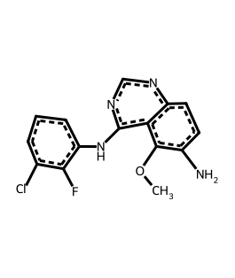 COc1c(N)ccc2ncnc(Nc3cccc(Cl)c3F)c12